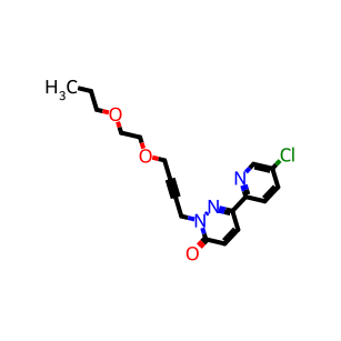 CCCOCCOCC#CCn1nc(-c2ccc(Cl)cn2)ccc1=O